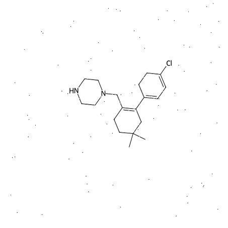 CC1(C)CCC(CN2CCNCC2)=C(C2=CC=C(Cl)CC2)C1